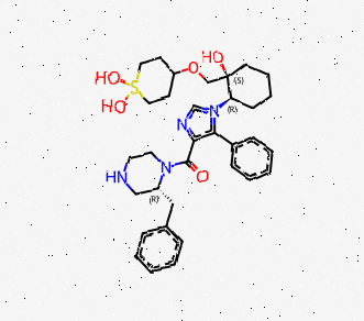 O=C(c1ncn([C@@H]2CCCC[C@@]2(O)COC2CCS(O)(O)CC2)c1-c1ccccc1)N1CCNC[C@H]1Cc1ccccc1